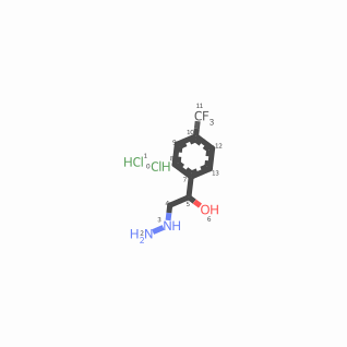 Cl.Cl.NNCC(O)c1ccc(C(F)(F)F)cc1